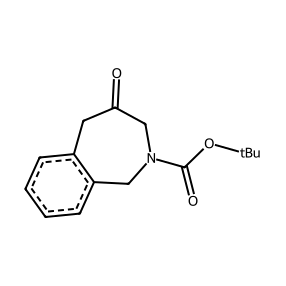 CC(C)(C)OC(=O)N1CC(=O)Cc2ccccc2C1